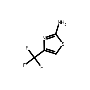 Nc1nc(C(F)(F)F)[c]s1